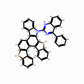 c1ccc(-c2nc(-n3c4ccccc4c4c5ccc6sc7ccccc7c6c5c5c6ccccc6sc5c43)nc3ccccc23)cc1